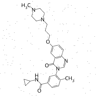 Cc1ccc(C(=O)NC2CC2)cc1-n1cnc2ccc(OCCCN3CCN(C)CC3)cc2c1=O